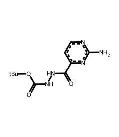 CC(C)(C)OC(=O)NNC(=O)c1ccnc(N)n1